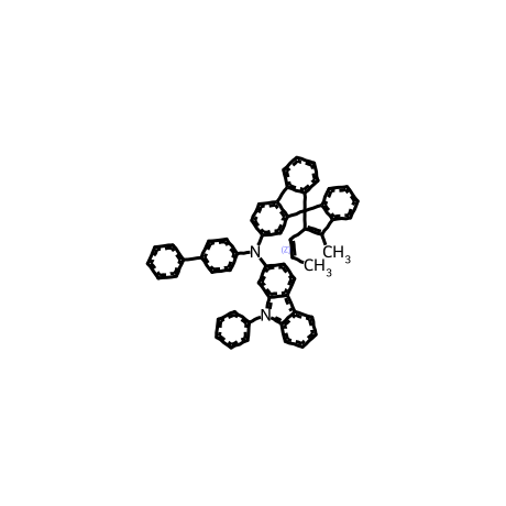 C/C=C\C1=C(C)c2ccccc2C12c1ccccc1-c1ccc(N(c3ccc(-c4ccccc4)cc3)c3ccc4c5ccccc5n(-c5ccccc5)c4c3)cc12